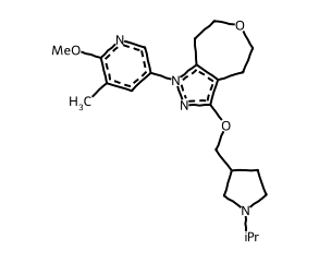 COc1ncc(-n2nc(OCC3CCN(C(C)C)C3)c3c2CCOCC3)cc1C